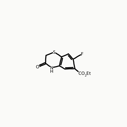 CCOC(=O)c1cc2c(cc1F)SCC(=O)N2